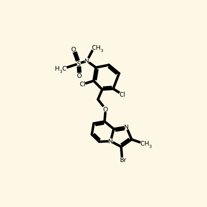 Cc1nc2c(OCc3c(Cl)ccc(N(C)S(C)(=O)=O)c3Cl)cccn2c1Br